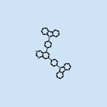 c1ccc2c(c1)c1ccccc1n2-c1ccc(-c2cc(-c3ccc(-n4c5ccccc5c5ccccc54)cc3)c3cncnc3c2)cc1